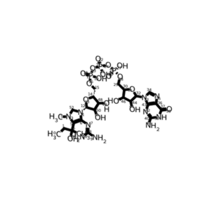 CCC(C)(O)C1=C(N=C(N)N)N([C@@H]2O[C@H](COP(=O)(O)OP(=O)(O)OP(=O)(O)OCC3OC(n4cnc5c(=O)[nH]c(N)nc54)C(O)C3O)C(O)C2O)CN1C